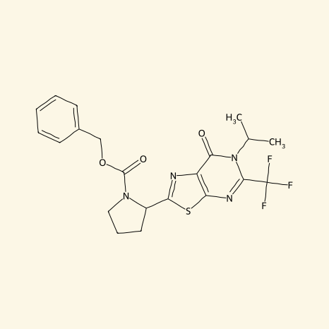 CC(C)n1c(C(F)(F)F)nc2sc(C3CCCN3C(=O)OCc3ccccc3)nc2c1=O